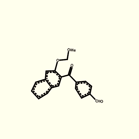 COCOc1cc2ccccc2cc1C(=O)c1ccc(C=O)cc1